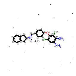 Nc1cc(F)c(Oc2ccc(CN(C(=O)O)C3Cc4ccccc4C3)cc2)c(F)c1N